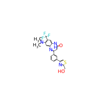 CN(C)c1cc2c(cc1C(F)(F)F)NC(=O)CC(c1cccc(-c3csc(CO)n3)c1)=N2